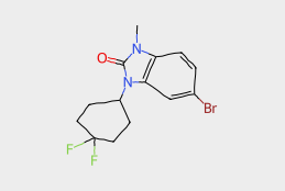 Cn1c(=O)n(C2CCC(F)(F)CC2)c2cc(Br)ccc21